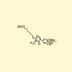 COCCCCCCSc1ncc(-c2ccc(S(C)(C)(F)(F)F)cc2)c(=O)n1C